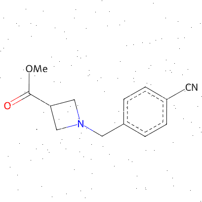 COC(=O)C1CN(Cc2ccc(C#N)cc2)C1